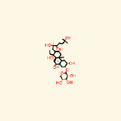 CC(C)(O)CCC(O)[C@](C)(O)[C@H]1CC[C@@]2(O)C3=CC(=O)[C@@H]4C[C@@H](OC5OC[C@@H](O)[C@H](O)[C@H]5O)[C@@H](O)C[C@]4(C)[C@H]3CC[C@]12C